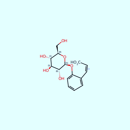 O=C(O)/C=C\c1ccccc1O[C@@H]1O[C@H](CO)[C@@H](O)[C@H](O)[C@H]1O